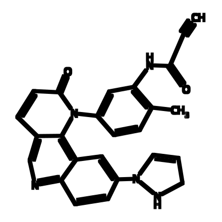 C#CC(=O)Nc1cc(-n2c(=O)ccc3cnc4ccc(N5C=CCN5)cc4c32)ccc1C